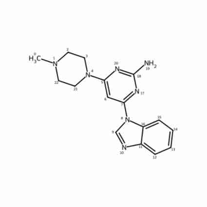 CN1CCN(c2cc(-n3cnc4ccccc43)nc(N)n2)CC1